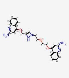 Nc1cc(OCCOCCn2cc(COc3cc(N)nc4ccccc34)[nH]2)c2ccccc2n1